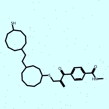 C=C(CSC1CCCCCC(CCC2CCCCC(S)CCC2)CC1)C(=O)c1ccc(C(=O)NC)cc1